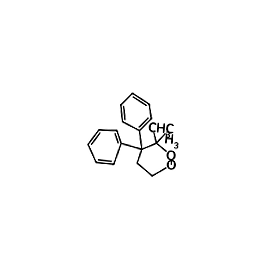 CC1(C)OOCCC1(c1ccccc1)c1ccccc1